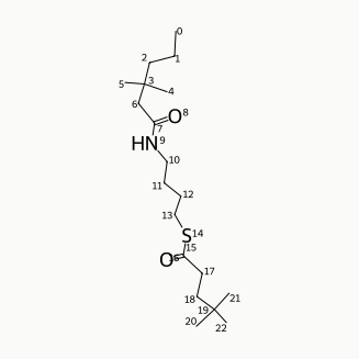 CCCC(C)(C)CC(=O)NCCCCSC(=O)CCC(C)(C)C